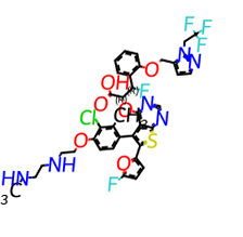 CNCCNCCOc1ccc(-c2c(-c3ccc(F)o3)sc3ncnc(O[C@H](C(=O)O)[C@H](F)c4ccccc4OCc4ccnn4CC(F)(F)F)c23)c(C)c1Cl